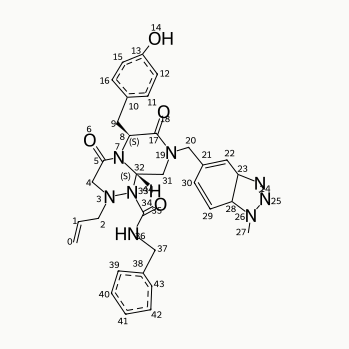 C=CCN1CC(=O)N2[C@@H](Cc3ccc(O)cc3)C(=O)N(CC3=CC4N=NN(C)C4C=C3)C[C@@H]2N1C(=O)NCc1ccccc1